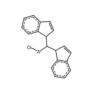 [Cl][Zr][CH](C1C=Cc2ccccc21)C1C=Cc2ccccc21